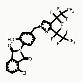 Cc1cc(Cn2cc(C(F)(F)C(F)(F)C(F)(F)F)c(C(F)(F)C(F)(F)C(F)(F)F)n2)ccc1N1C(=O)c2cccc(Cl)c2C1=O